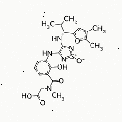 Cc1cc([C@H](Nc2n[s+]([O-])nc2Nc2cccc(C(=O)N(C)CC(=O)O)c2O)C(C)C)oc1C